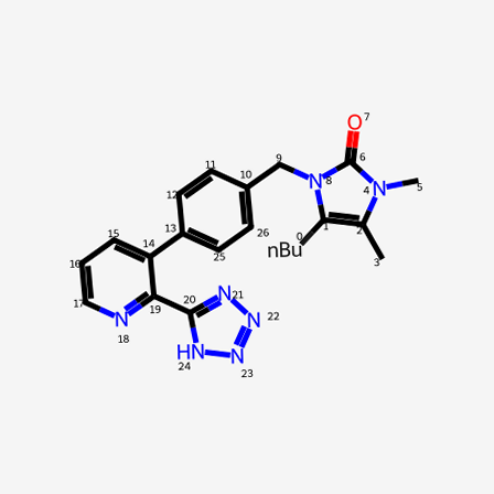 CCCCc1c(C)n(C)c(=O)n1Cc1ccc(-c2cccnc2-c2nnn[nH]2)cc1